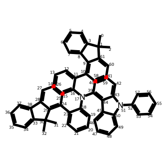 CC1(C)c2ccccc2-c2c(-c3ccccc3N(c3ccccc3-c3cccc4c3C(C)(C)c3ccccc3-4)c3cccc4c3c3ccccc3n4-c3ccccc3)cccc21